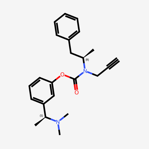 C#CCN(C(=O)Oc1cccc([C@H](C)N(C)C)c1)[C@H](C)Cc1ccccc1